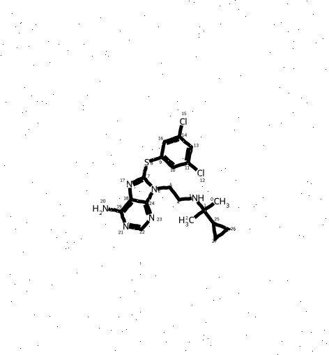 CC(C)(NCCn1c(Sc2cc(Cl)cc(Cl)c2)nc2c(N)ncnc21)C1CC1